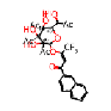 CC(=O)C(O)[C@H]1OC(OC(=CC(=O)c2ccc3ccccc3c2)C(F)(F)F)[C@@](O)(C(C)=O)[C@](O)(C(C)=O)[C@]1(O)C(C)=O